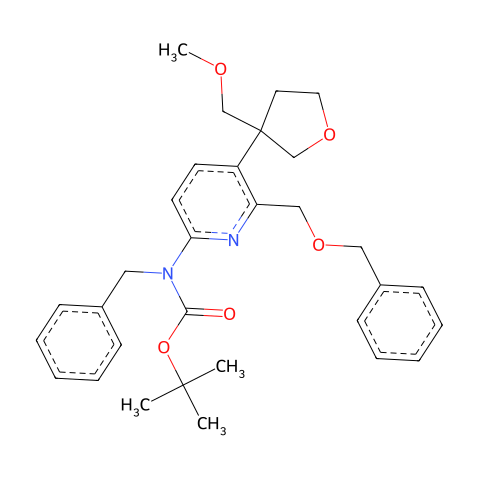 COCC1(c2ccc(N(Cc3ccccc3)C(=O)OC(C)(C)C)nc2COCc2ccccc2)CCOC1